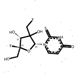 O=c1ccn([C@@H]2O[C@](F)(CO)[C@H](O)C2(O)CF)c(=S)[nH]1